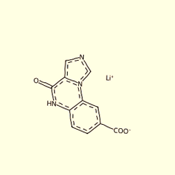 O=C([O-])c1ccc2[nH]c(=O)c3cncn3c2c1.[Li+]